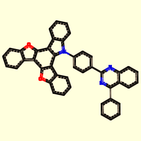 c1ccc(-c2nc(-c3ccc(-n4c5ccccc5c5c6oc7ccccc7c6c6oc7ccccc7c6c54)cc3)nc3ccccc23)cc1